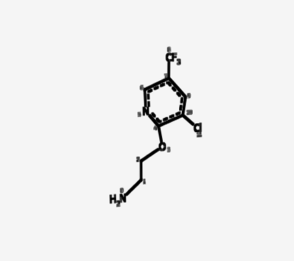 NCCOc1ncc(C(F)(F)F)cc1Cl